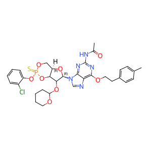 CC(=O)Nc1nc(OCCc2ccc(C)cc2)c2ncn([C@@H]3O[C@@H]4COP(=S)(Oc5ccccc5Cl)OC4C3OC3CCCCO3)c2n1